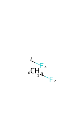 C.CF.CF